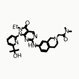 CCn1c(=O)c2cnc(Nc3ccc4c(c3)CN(CC(=O)N(C)C)CC4)nc2n1-c1cccc(C(C)(C)O)n1